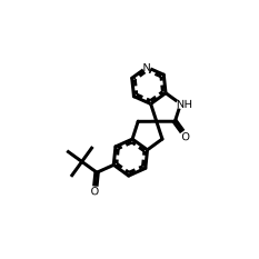 CC(C)(C)C(=O)c1ccc2c(c1)CC1(C2)C(=O)Nc2cnccc21